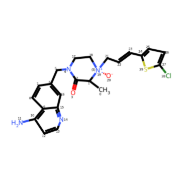 CC1C(=O)N(Cc2ccc3c(N)ccnc3c2)CC[N@@+]1([O-])CC=Cc1ccc(Cl)s1